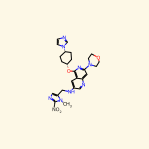 Cn1c(CNc2cnc3cc(N4CCOCC4)nc(O[C@H]4CC[C@@H](n5ccnc5)CC4)c3c2)cnc1[N+](=O)[O-]